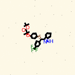 CC(C)(C)OC(=O)C(C)(C)Oc1ccc(SC(c2ccc(C(F)(F)F)cc2)c2n[nH]c3ccccc23)cc1